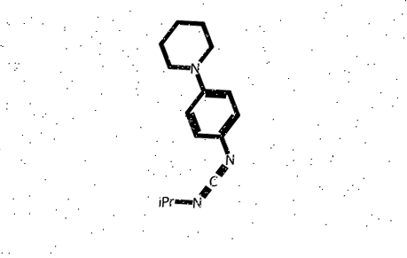 CC(C)N=C=Nc1ccc(N2CCCCC2)cc1